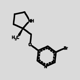 C[C@@]1(COc2cncc(Br)c2)CCCN1